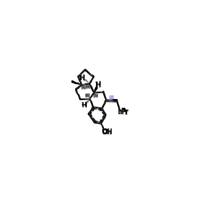 CCC/C=C1/C[C@@H]2[C@H](CC[C@]3(C)CCC[C@@H]23)c2ccc(O)cc21